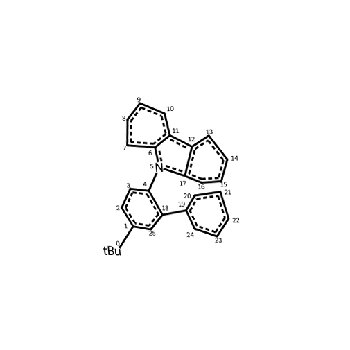 CC(C)(C)c1ccc(-n2c3ccccc3c3ccccc32)c(-c2ccccc2)c1